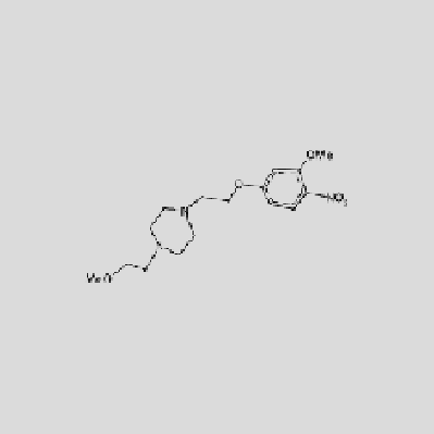 COCCN1CCN(CCOc2ccc([N+](=O)[O-])c(OC)c2)CC1